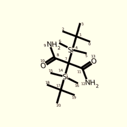 CC(C)(C)[Si](C)(C)C(C(N)=O)(C(N)=O)[Si](C)(C)C(C)(C)C